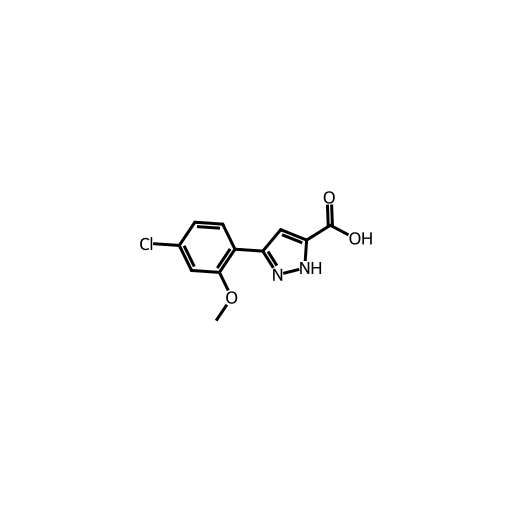 COc1cc(Cl)ccc1-c1cc(C(=O)O)[nH]n1